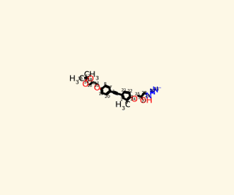 Cc1cc(C#Cc2ccc(OC[C@H]3COC(C)(C)O3)cc2)ccc1OC[C@H](O)CN=[N+]=[N-]